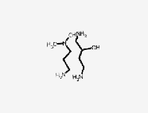 CN(C)CCCN.NCCC(O)CN